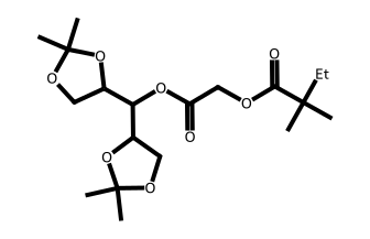 CCC(C)(C)C(=O)OCC(=O)OC(C1COC(C)(C)O1)C1COC(C)(C)O1